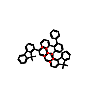 CC1(C)c2ccccc2-c2c(N(c3ccc(-c4cccc5c4C(C)(C)c4ccccc4-5)cc3)c3cccc(-c4ccccc4)c3-c3ccccc3-c3ccccc3)cccc21